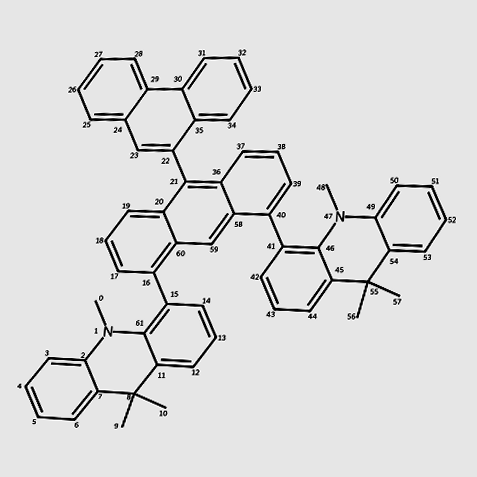 CN1c2ccccc2C(C)(C)c2cccc(-c3cccc4c(-c5cc6ccccc6c6ccccc56)c5cccc(-c6cccc7c6N(C)c6ccccc6C7(C)C)c5cc34)c21